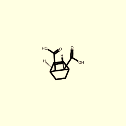 O=C(O)[C@@H]1C2C=CC(CC2)[C@H]1C(=O)O